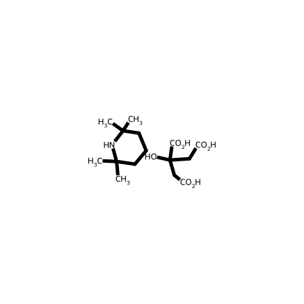 CC1(C)CCCC(C)(C)N1.O=C(O)CC(O)(CC(=O)O)C(=O)O